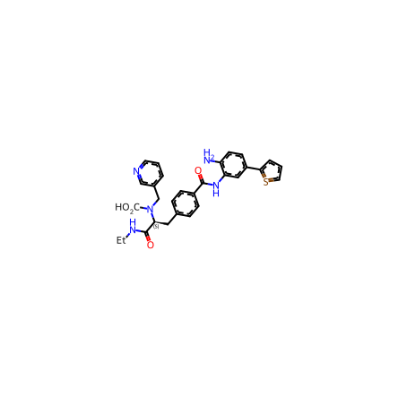 CCNC(=O)[C@H](Cc1ccc(C(=O)Nc2cc(-c3cccs3)ccc2N)cc1)N(Cc1cccnc1)C(=O)O